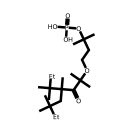 CCC(C)(C)CC(C)(C(=O)C(C)(C)OCCC(C)(C)OP(=O)(O)O)C(C)(C)CC